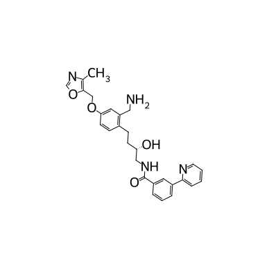 Cc1ncoc1COc1ccc(CC[C@H](O)CNC(=O)c2cccc(-c3ccccn3)c2)c(CN)c1